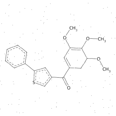 COC1=C(OC)C(OC)CC(C(=O)c2csc(-c3ccccc3)c2)=C1